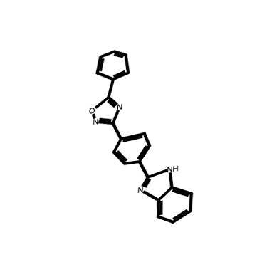 c1ccc(-c2nc(-c3ccc(-c4nc5ccccc5[nH]4)cc3)no2)cc1